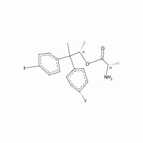 C[C@H](N)C(=O)O[C@@H](C)C(C)(c1ccc(F)cc1)c1ccc(F)cc1